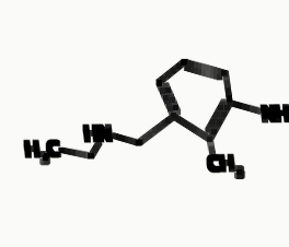 CCNCc1cccc(N)c1C